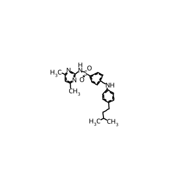 Cc1cc(C)nc(NS(=O)(=O)c2ccc(Nc3ccc(CCC(C)C)cc3)cc2)n1